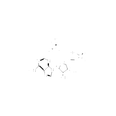 Nc1ncnc2c1ncn2[C@@H]1O[C@H](COP(=O)(O)O)[C@@H](O)[C@H]1O.O=S(=O)([O-])[O-].[Cu+2]